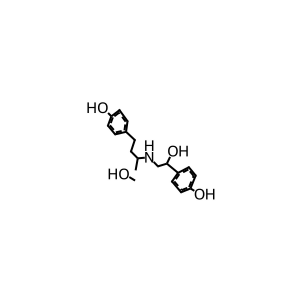 CC(CCc1ccc(O)cc1)NCC(O)c1ccc(O)cc1.CO